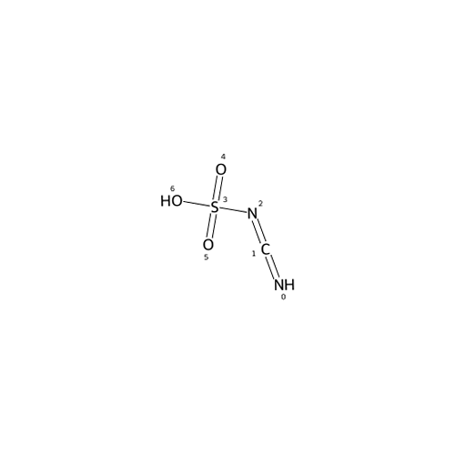 N=C=NS(=O)(=O)O